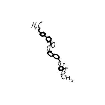 CCCc1ccc(C2CCC(C(=O)OC3CCC4CC(COc5ccc(OCC)c(F)c5F)CCC4C3)CC2)cc1